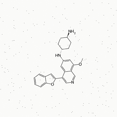 COc1cc(N[C@H]2CC[C@H](N)CC2)cc2c(-c3cc4ccccc4o3)cncc12